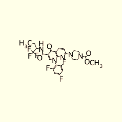 CCC(NC(=O)c1cn(-c2c(F)cc(F)cc2F)c2nc(N3CCN(C(=O)OC)CC3)ccc2c1=O)C(F)(F)F